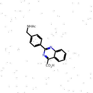 CC(=O)NCc1ccc(-c2nc(C(=O)O)c3ccccc3n2)cc1